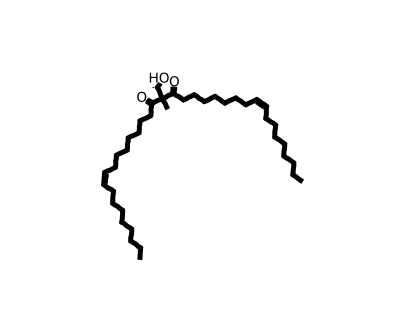 CCCCCCCC/C=C\CCCCCCCC(=O)C(C)([CH]O)C(=O)CCCCCCC/C=C\CCCCCCCC